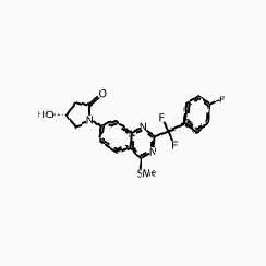 CSc1nc(C(F)(F)c2ccc(F)cc2)nc2cc(N3C[C@H](O)CC3=O)ccc12